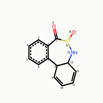 O=C1c2ccccc2C2C=CC=CC2N[S+]1[O-]